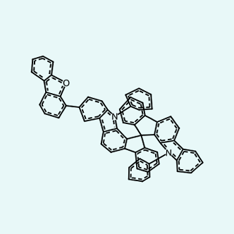 c1ccc(-n2c3ccccc3c3ccc4c(c32)C2(c3ccccc3-4)c3ccccc3-c3ccc4c5cc(-c6cccc7c6oc6ccccc67)ccc5n(-c5ccccc5)c4c32)cc1